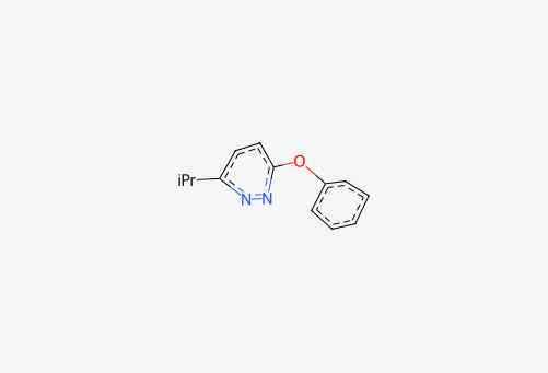 CC(C)c1ccc(Oc2ccccc2)nn1